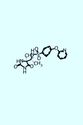 C[C@@H](NS(=O)(=O)c1ccc(Oc2ccccn2)cc1)[C@]1(C)NC(=O)NC1=O